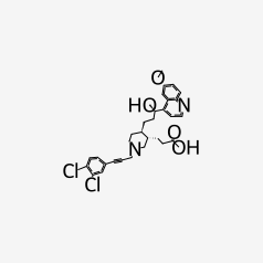 COc1ccc2nccc([C@H](O)CC[C@@H]3CCN(CC#Cc4ccc(Cl)c(Cl)c4)C[C@H]3CCC(=O)O)c2c1